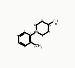 Cc1ccc[c]c1N1CCC(O)CC1